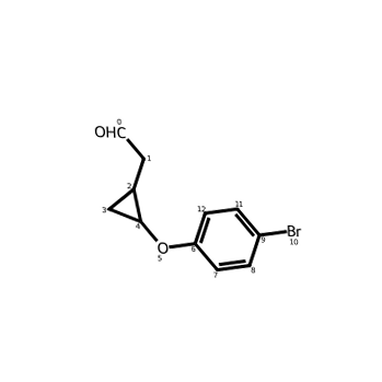 O=CCC1CC1Oc1ccc(Br)cc1